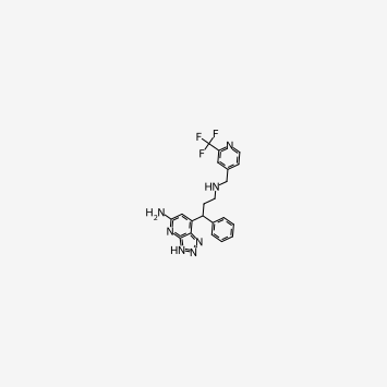 Nc1cc(C(CCNCc2ccnc(C(F)(F)F)c2)c2ccccc2)c2nn[nH]c2n1